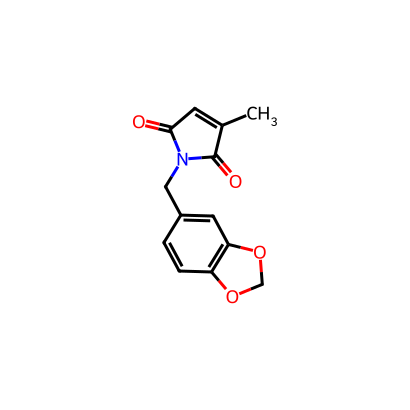 CC1=CC(=O)N(Cc2ccc3c(c2)OCO3)C1=O